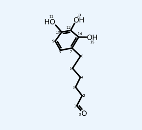 O=CCCCCCc1ccc(O)c(O)c1O